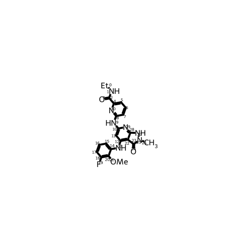 CCNC(=O)c1cccc(Nc2cc(Nc3cccc(F)c3OC)c3c(=O)n(C)[nH]c3n2)n1